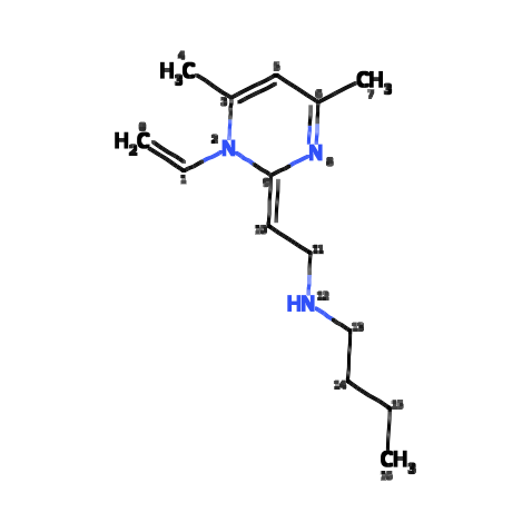 C=CN1C(C)=CC(C)=N/C1=C\CNCCCC